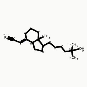 C#C/C=C1\CCCC2(C)C(CCCCC(C)(C)O)CCC12